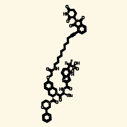 CC(C)(C)[C@H](NC(=O)c1cc2cc(C(F)(F)P(=O)(O)O)ccc2s1)C(=O)N1Cc2cc(OCC(=O)NCCCCCCCCCC#Cc3cccc4c3C(=O)N(C3CCC(=O)NC3=O)C4=O)ccc2C[C@H]1C(=O)N1CCOC(c2ccccc2)C1